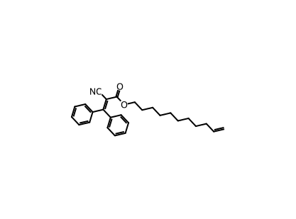 C=CCCCCCCCCCOC(=O)C(C#N)=C(c1ccccc1)c1ccccc1